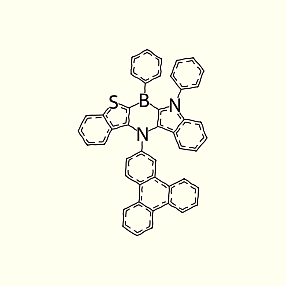 c1ccc(B2c3sc4ccccc4c3N(c3ccc4c5ccccc5c5ccccc5c4c3)c3c2n(-c2ccccc2)c2ccccc32)cc1